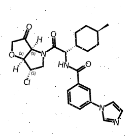 C[C@H]1CC[C@H](C(NC(=O)c2cccc(-n3ccnc3)c2)C(=O)N2C[C@H](Cl)[C@H]3OCC(=O)[C@H]32)CC1